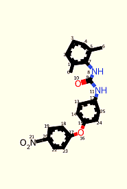 Cc1cccc(C)c1NC(=O)Nc1ccc(Oc2ccc([N+](=O)[O-])cc2)cc1